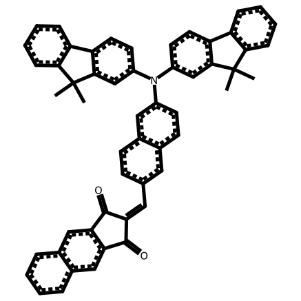 CC1(C)c2ccccc2-c2ccc(N(c3ccc4c(c3)C(C)(C)c3ccccc3-4)c3ccc4cc(C=C5C(=O)c6cc7ccccc7cc6C5=O)ccc4c3)cc21